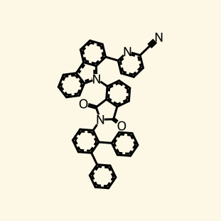 N#Cc1cccc(-c2cccc3c4ccccc4n(-c4cccc5c4C(=O)N(c4cccc(-c6ccccc6)c4-c4ccccc4)C5=O)c23)n1